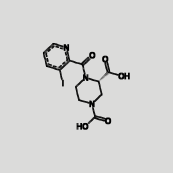 O=C(O)[C@@H]1CN(C(=O)O)CCN1C(=O)c1ncccc1I